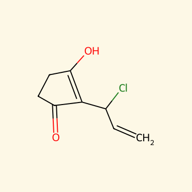 C=CC(Cl)C1=C(O)CCC1=O